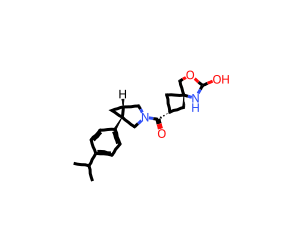 CC(C)c1ccc([C@@]23C[C@@H]2CN(C(=O)[C@H]2C[C@]4(COC(O)N4)C2)C3)cc1